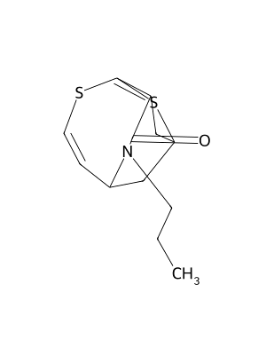 CCCN1C(=O)C2=C3S/C=C\C1CC(C2)S3